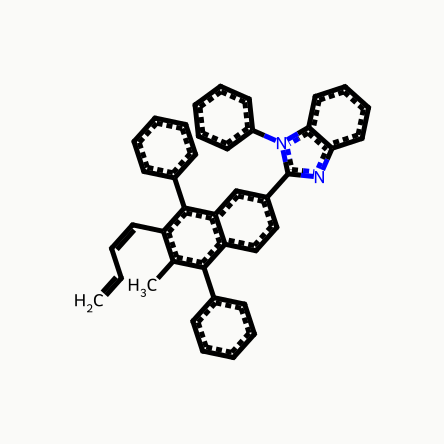 C=C/C=C\c1c(C)c(-c2ccccc2)c2ccc(-c3nc4ccccc4n3-c3ccccc3)cc2c1-c1ccccc1